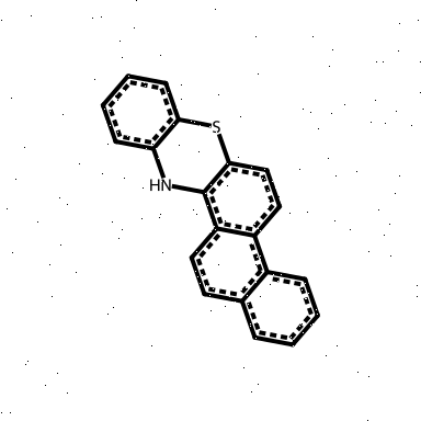 c1ccc2c(c1)Nc1c(ccc3c1ccc1ccccc13)S2